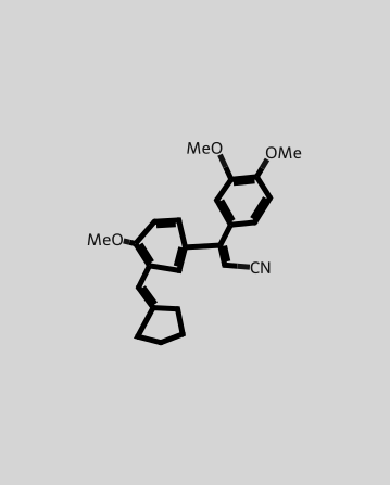 COc1ccc(C(=CC#N)c2ccc(OC)c(OC)c2)cc1C=C1CCCC1